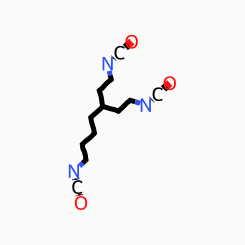 O=C=NCCCCC(CCN=C=O)CCN=C=O